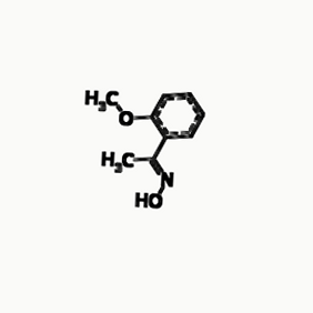 COc1ccccc1C(C)=NO